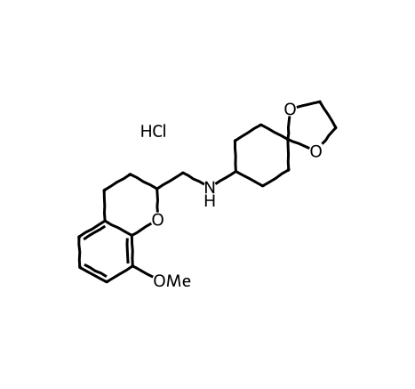 COc1cccc2c1OC(CNC1CCC3(CC1)OCCO3)CC2.Cl